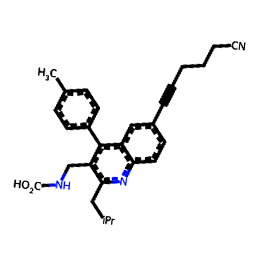 Cc1ccc(-c2c(CNC(=O)O)c(CC(C)C)nc3ccc(C#CCCCC#N)cc23)cc1